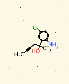 CC#CCC(O)(c1cc(Cl)ccc1N)C(F)(F)F